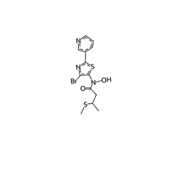 CSC(C)CC(=O)N(O)c1sc(-c2cccnc2)nc1Br